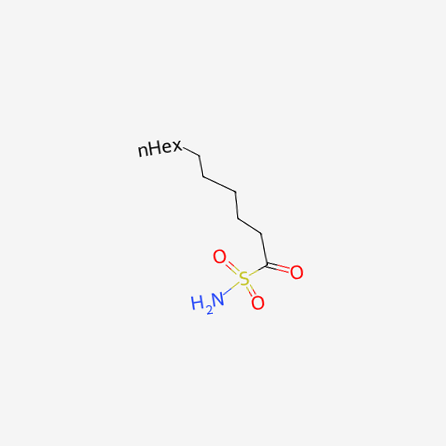 CCCCCCCCCCCC(=O)S(N)(=O)=O